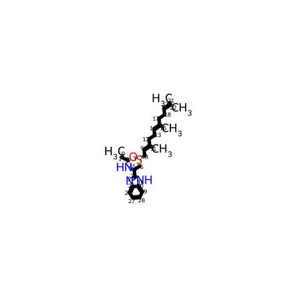 CCC(=O)NC(CSC/C=C(\C)CC/C=C(\C)CCC=C(C)C)c1nc2ccccc2[nH]1